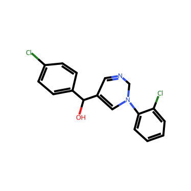 OC(C1=CN(c2ccccc2Cl)CN=C1)c1ccc(Cl)cc1